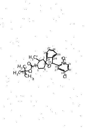 CC1CC2(CCN1C(=O)OC(C)(C)C)OC(c1cc(Cl)cc[n+]1[O-])c1ccccc12